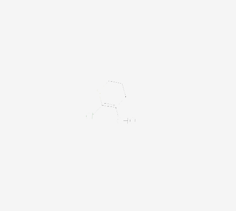 O=CC1=C(Cl)SCCC1